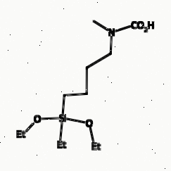 CCO[Si](CC)(CCCCN(C)C(=O)O)OCC